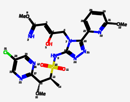 COC(=N)/C=C(\O)Cn1c(NS(=O)(=O)[C@@H](C)[C@H](OC)c2ncc(Cl)cn2)nnc1-c1cccc(OC)n1